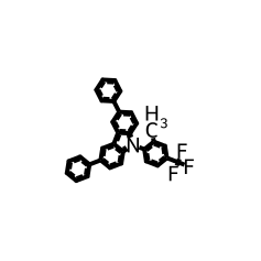 Cc1cc(C(F)(F)F)ccc1-n1c2ccc(-c3ccccc3)cc2c2cc(-c3ccccc3)ccc21